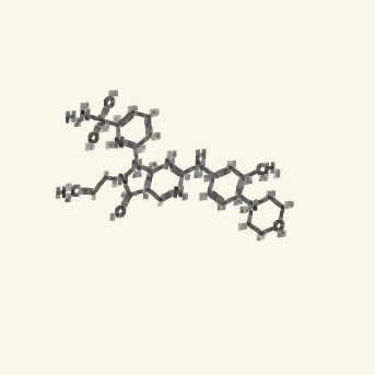 C=CCn1c(=O)c2cnc(Nc3ccc(N4CCOCC4)c(C)c3)nc2n1-c1cccc(S(N)(=O)=O)n1